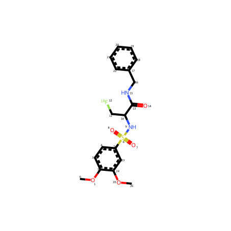 COc1ccc(S(=O)(=O)NC(C[18F])C(=O)NCc2ccccc2)cc1OC